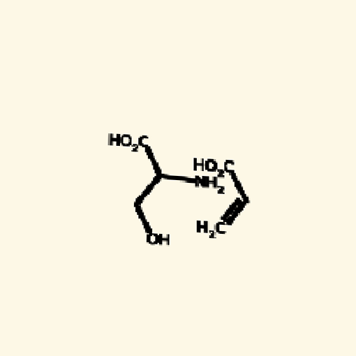 C=CC(=O)O.NC(CO)C(=O)O